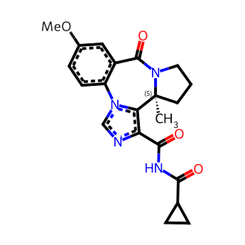 COc1ccc2c(c1)C(=O)N1CCC[C@@]1(C)c1c(C(=O)NC(=O)C3CC3)ncn1-2